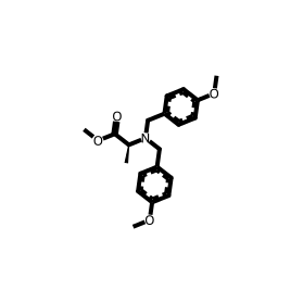 COC(=O)[C@H](C)N(Cc1ccc(OC)cc1)Cc1ccc(OC)cc1